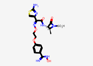 C[C@H]1[C@H](NC(=O)/C(=N\OCCOc2ccc(C(=N)NO)cc2)c2csc(N)n2)C(=O)N1S(=O)(=O)O